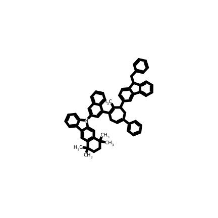 CC1=C(c2cc(-n3c4ccccc4c4cc5c(cc43)C(C)(C)CCC5(C)C)cc3ccccc23)CC=C(c2ccccc2)CC1c1ccc2c(c1)-c1ccccc1C2Cc1ccccc1